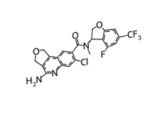 CN(C(=O)c1cc2c3c(c(N)nc2cc1Cl)COC3)[C@H]1COc2cc(C(F)(F)F)cc(F)c21